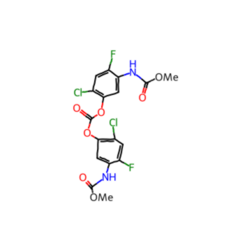 COC(=O)Nc1cc(OC(=O)Oc2cc(NC(=O)OC)c(F)cc2Cl)c(Cl)cc1F